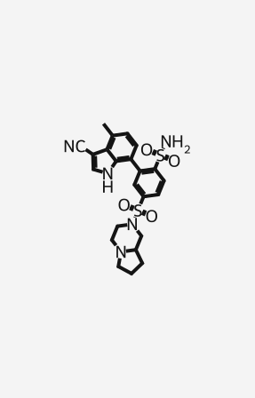 Cc1ccc(-c2cc(S(=O)(=O)N3CCN4CCCC4C3)ccc2S(N)(=O)=O)c2[nH]cc(C#N)c12